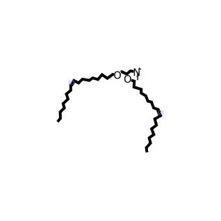 CCCCCCCC/C=C\CCCCCCCCOCC(CN(C)I)OCCCCCCCC/C=C\CCCCCCCC